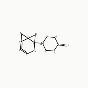 O=C1CCN(C23CC=C=C4CC42C3)CC1